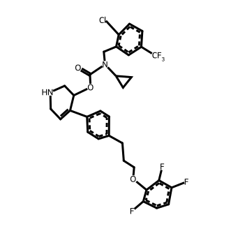 O=C(OC1CNCC=C1c1ccc(CCCOc2c(F)ccc(F)c2F)cc1)N(Cc1cc(C(F)(F)F)ccc1Cl)C1CC1